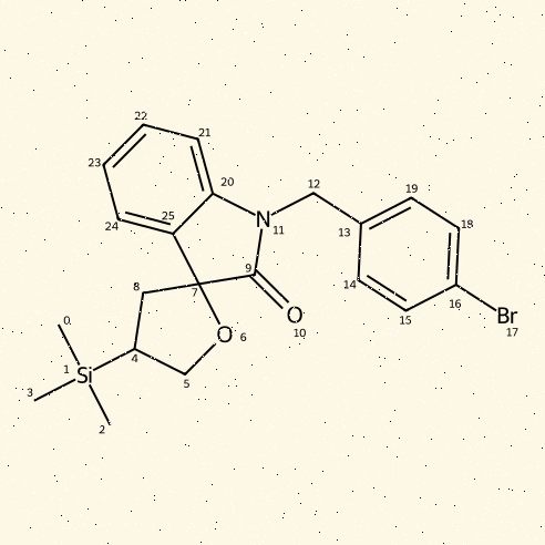 C[Si](C)(C)C1COC2(C1)C(=O)N(Cc1ccc(Br)cc1)c1ccccc12